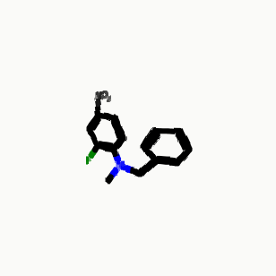 CN(Cc1ccccc1)c1ccc([N+](=O)[O-])cc1F